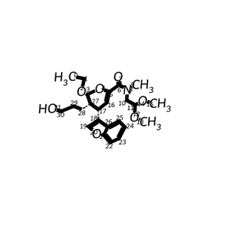 CCOC1OC(C(=O)N(C)CC(OC)OC)=C[C@H](c2coc3ccccc23)[C@@H]1CCCO